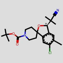 Cc1cc2c(cc1Cl)C1(CCN(C(=O)OC(C)(C)C)CC1)O[C@H]2C(C)(C)C#N